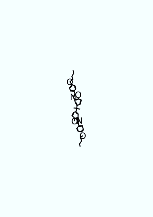 CCCCOc1ccc(-c2nc3cc(C(C)(C)c4ccc5oc(-c6ccc(OCCCC)cc6)nc5c4)ccc3o2)cc1